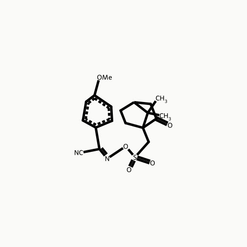 COc1ccc(C(C#N)=NOS(=O)(=O)CC23CCC(CC2=O)C3(C)C)cc1